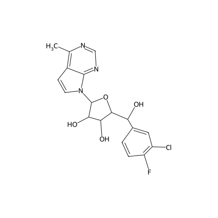 Cc1ncnc2c1ccn2C1OC(C(O)c2ccc(F)c(Cl)c2)C(O)C1O